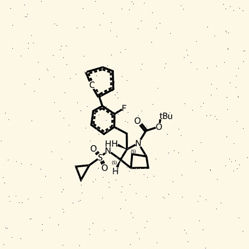 CC(C)(C)OC(=O)N1C2CC(C2)[C@H](NS(=O)(=O)C2CC2)[C@@H]1Cc1cccc(-c2ccccc2)c1F